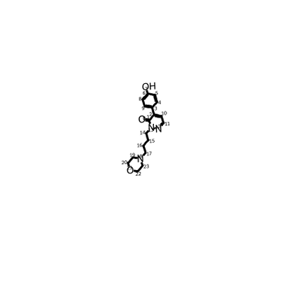 O=c1c(-c2ccc(O)cc2)ccnn1CCCCN1CCOCC1